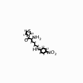 N[C@@H](CCCCNc1ccc([N+](=O)[O-])cc1)C(=O)N1C=CSC1